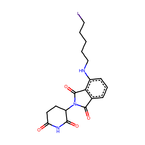 O=C1CCC(N2C(=O)c3cccc(NCCCCCI)c3C2=O)C(=O)N1